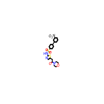 O=C(Cc1cnc(NS(=O)(=O)c2ccc(-c3cccc([N+](=O)[O-])c3)cc2)s1)N1CCOCC1